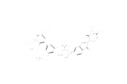 COc1cc(-c2cc(C)c(=O)n(C)c2C)cc(OC)c1CN1CCN(c2ccc3c(c2)CN(C2CCC(=O)NC2=O)C3=O)CC1